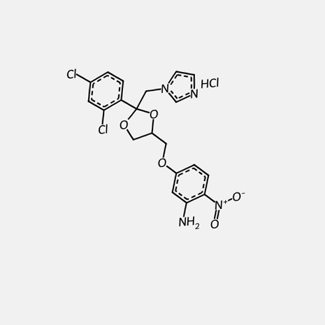 Cl.Nc1cc(OCC2COC(Cn3ccnc3)(c3ccc(Cl)cc3Cl)O2)ccc1[N+](=O)[O-]